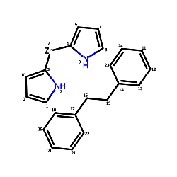 c1c[nH][c]([Zr][c]2ccc[nH]2)c1.c1ccc(CCc2ccccc2)cc1